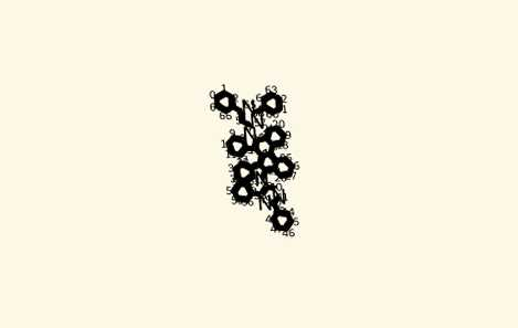 c1ccc(-c2cc(-n3c4ccccc4c4c5c(c6ccccc6c43)c3ccccc3c3c5c4ccccc4n3-c3cnc(-c4ccccc4)nc3-c3ccccc3)nc(-c3ccccc3)n2)cc1